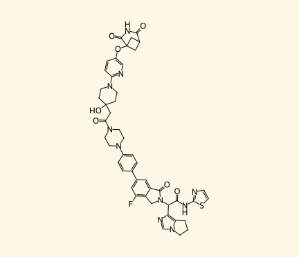 O=C1NC(=O)C2(Oc3ccc(N4CCC(O)(CC(=O)N5CCN(c6ccc(-c7cc(F)c8c(c7)C(=O)N(C(C(=O)Nc7nccs7)c7ncn9c7CCC9)C8)cc6)CC5)CC4)nc3)CC1C2